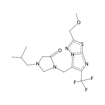 COCc1nn2c(CN3CN(CC(C)C)CC3=O)c(C(F)(F)F)nc2s1